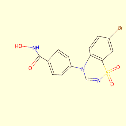 O=C(NO)c1ccc(N2C=NS(=O)(=O)c3cc(Br)ccc32)cc1